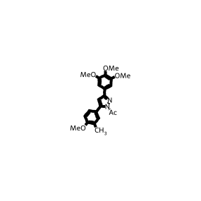 COc1ccc(-c2cc(-c3cc(OC)c(OC)c(OC)c3)nn2C(C)=O)cc1C